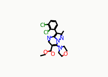 CCOC(=O)c1cnc2c(-c3cccc(Cl)c3Cl)c(C)nn2c1N1CCOCC1